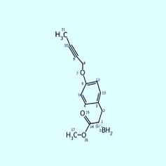 B[C@@H](Cc1ccc(OCC#CC)cc1)C(=O)OC